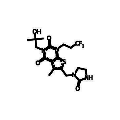 Cc1c(CN2CCNC2=O)sc2c1c(=O)n(CC(C)(C)O)c(=O)n2CCC(F)(F)F